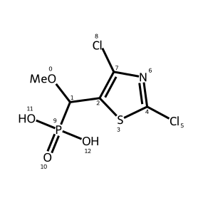 COC(c1sc(Cl)nc1Cl)P(=O)(O)O